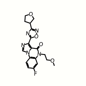 COCCn1c(=O)c2c(-c3nc(C4CCOC4)no3)ncn2c2ccc(F)cc21